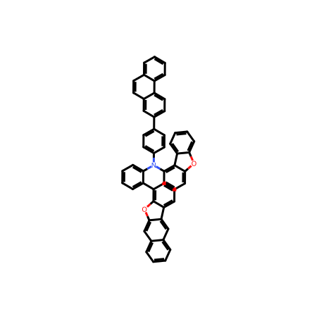 c1ccc(N(c2ccc(-c3ccc4c(ccc5ccccc54)c3)cc2)c2cccc3oc4ccccc4c23)c(-c2cccc3c2oc2cc4ccccc4cc23)c1